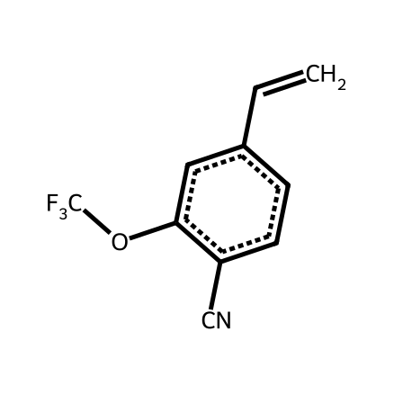 C=Cc1ccc(C#N)c(OC(F)(F)F)c1